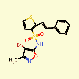 Cc1noc(NS(=O)(=O)c2ccsc2/C=C/c2ccccc2)c1Br